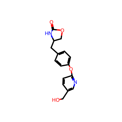 O=C1NC(Cc2ccc(Oc3ccc(CO)cn3)cc2)CO1